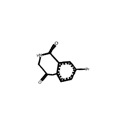 CC(C)c1ccc2c(c1)C(=O)NCC2=O